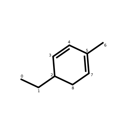 CCC1C=CC(C)=CC1